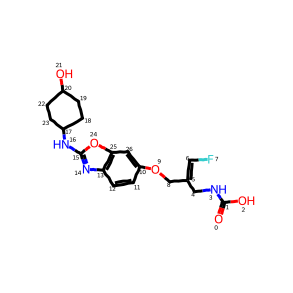 O=C(O)NCC(=CF)COc1ccc2nc(NC3CCC(O)CC3)oc2c1